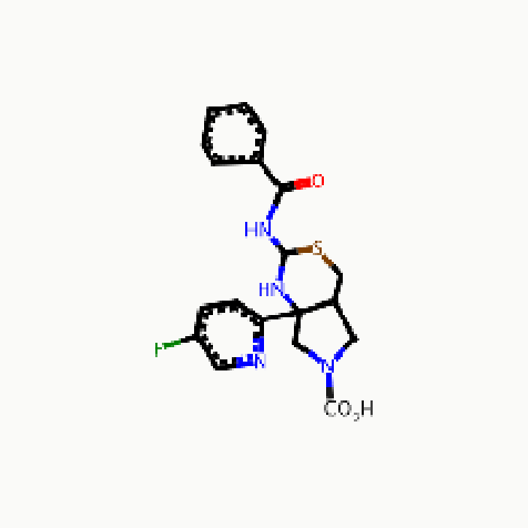 O=C(NC1NC2(c3ccc(F)cn3)CN(C(=O)O)CC2CS1)c1ccccc1